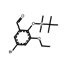 CCOc1cc(Br)cc(C=O)c1O[Si](C)(C)C(C)(C)C